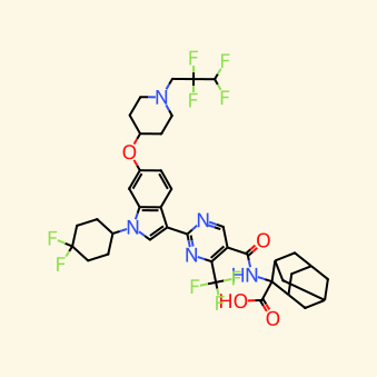 O=C(NC1(C(=O)O)C2CC3CC(C2)CC1C3)c1cnc(-c2cn(C3CCC(F)(F)CC3)c3cc(OC4CCN(CC(F)(F)C(F)F)CC4)ccc23)nc1C(F)(F)F